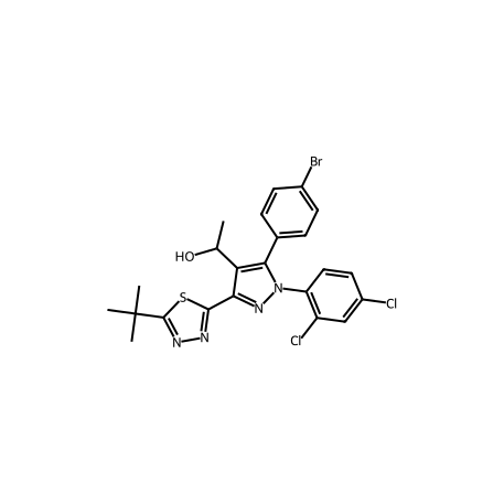 CC(O)c1c(-c2nnc(C(C)(C)C)s2)nn(-c2ccc(Cl)cc2Cl)c1-c1ccc(Br)cc1